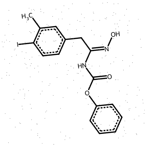 Cc1cc(C/C(=N\O)NC(=O)Oc2ccccc2)ccc1I